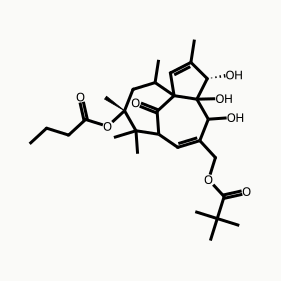 CCCC(=O)O[C@]1(C)CC(C)C23C=C(C)[C@H](O)C2(O)C(O)C(COC(=O)C(C)(C)C)=CC(C3=O)C1(C)C